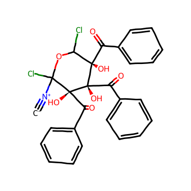 [C-]#[N+]C1(Cl)OC(Cl)[C@](O)(C(=O)c2ccccc2)[C@](O)(C(=O)c2ccccc2)[C@]1(O)C(=O)c1ccccc1